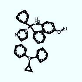 CCOc1ccc([SiH2]C(c2ccccc2)(c2ccccc2)n2ccnc2)cc1.c1ccc(B(c2ccccc2)C2CC2)cc1